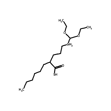 CCCCCCC(CCC[SiH2]C(OCC)OCC)C(=O)S